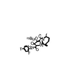 C=C1CC[C@H](C)N2C[C@H]1n1cc(C(=O)NCc3ccc(F)cc3F)c(=O)c(OCCCC)c1C2=O